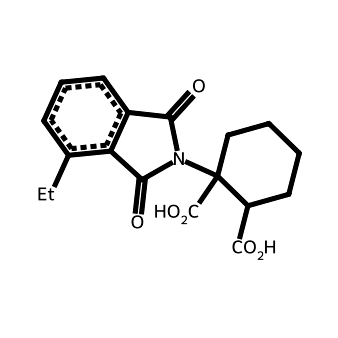 CCc1cccc2c1C(=O)N(C1(C(=O)O)CCCCC1C(=O)O)C2=O